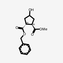 COC(=O)[C@@H]1CC(O)C[C@H]1C(=O)OCc1ccccc1